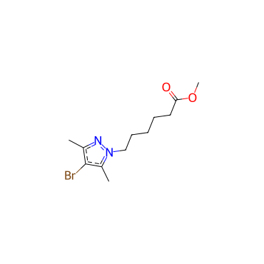 COC(=O)CCCCCn1nc(C)c(Br)c1C